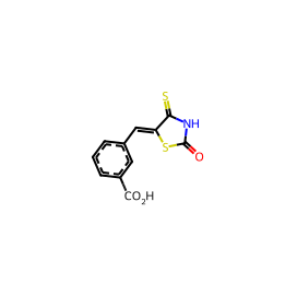 O=C1NC(=S)C(=Cc2cccc(C(=O)O)c2)S1